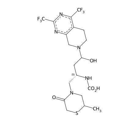 CC1CN(C[C@H](CC(O)N2CCc3c(nc(C(F)(F)F)nc3C(F)(F)F)C2)NC(=O)O)C(=O)CS1